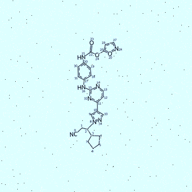 N#CCC(C1CCCC1)n1cc(-c2ccnc(Nc3ccc(NC(=O)Oc4ccno4)cc3)n2)cn1